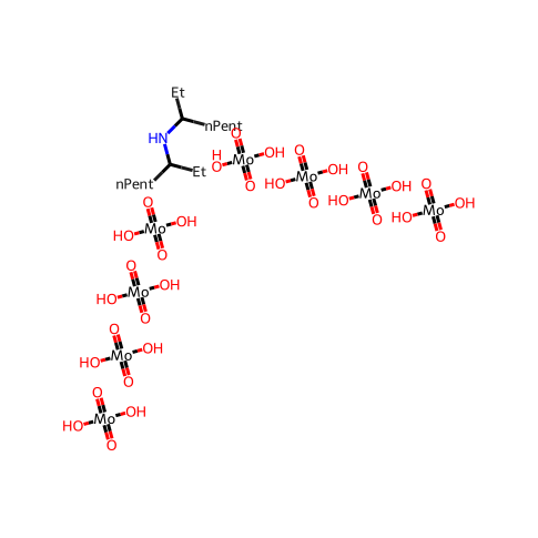 CCCCCC(CC)NC(CC)CCCCC.[O]=[Mo](=[O])([OH])[OH].[O]=[Mo](=[O])([OH])[OH].[O]=[Mo](=[O])([OH])[OH].[O]=[Mo](=[O])([OH])[OH].[O]=[Mo](=[O])([OH])[OH].[O]=[Mo](=[O])([OH])[OH].[O]=[Mo](=[O])([OH])[OH].[O]=[Mo](=[O])([OH])[OH]